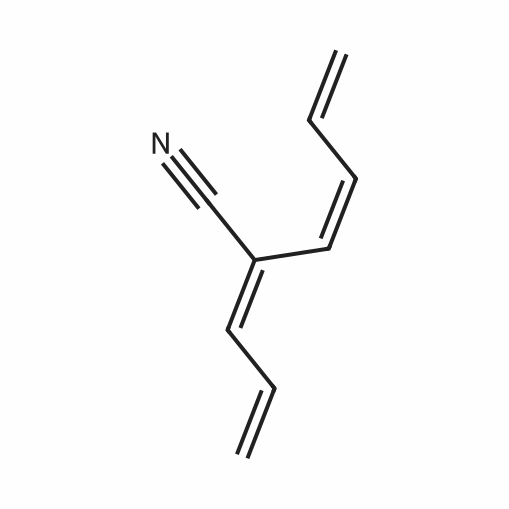 C=C/C=C\C(C#N)=C/C=C